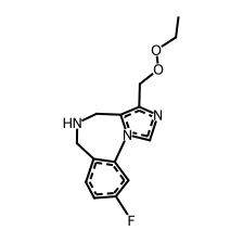 CCOOCc1ncn2c1CNCc1ccc(F)cc1-2